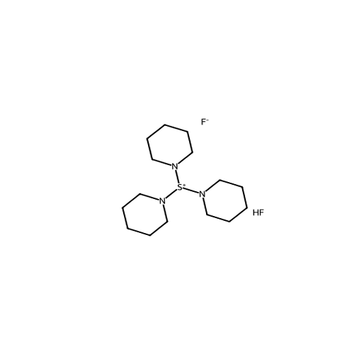 C1CCN([S+](N2CCCCC2)N2CCCCC2)CC1.F.[F-]